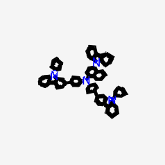 c1ccc(-n2c3ccccc3c3ccc(-c4ccc(N(c5ccc(-c6ccc7c8ccccc8n(-c8ccccc8)c7c6)cc5)c5ccc(-n6c7ccccc7c7ccccc76)c6ccccc56)cc4)cc32)cc1